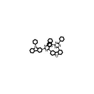 c1ccc(-c2nc(-c3ccccc3)nc(-c3cccc4oc5ccc(-c6nc(-c7ccc8c9ccccc9n(-c9ccccc9)c8c7)nc7c6sc6ccccc67)cc5c34)n2)cc1